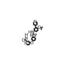 CNC(=O)c1cc(Oc2ccc3c(c2)nc(Nc2ccc(OC(C)C)c(-c4ccncc4)c2)n3C)ccn1